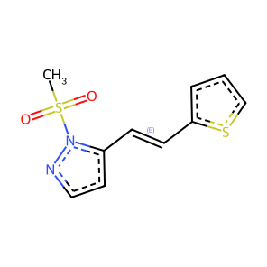 CS(=O)(=O)n1nccc1/C=C/c1cccs1